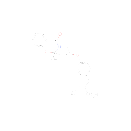 CCOC(Cc1ccc(OCCN2C(=O)c3ccccc3OC2(C)C)cc1)C(=O)O